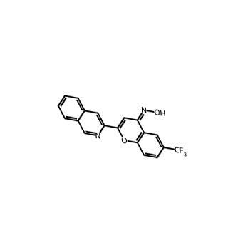 O/N=c1/cc(-c2cc3ccccc3cn2)oc2ccc(C(F)(F)F)cc12